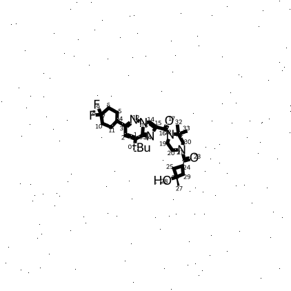 CC(C)(C)c1cc(C2CCC(F)(F)CC2)nn2cc(C(=O)N3CCN(C(=O)[C@H]4C[C@@](C)(O)C4)CC3(C)C)nc12